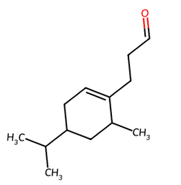 CC1CC(C(C)C)CC=C1CCC=O